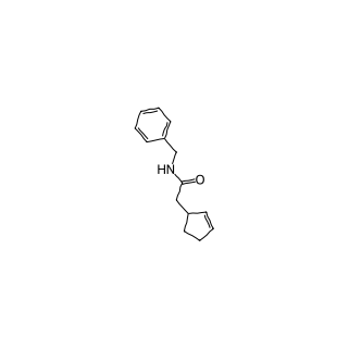 O=C(CC1C=CCC1)NCc1ccccc1